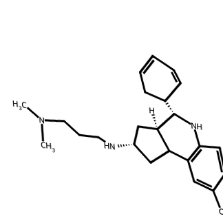 CN(C)CCCN[C@H]1CC2c3cc(C(F)(F)F)ccc3N[C@@H](C3C=CC=CC3)[C@@H]2C1